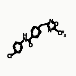 O=C(Nc1ccc(Cl)cc1)c1ccc(Cc2noc(C(F)(F)F)n2)cc1